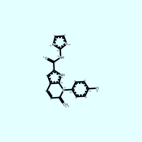 C=C1C=Cc2cc(C(=O)Nc3nccs3)[nH]c2N1c1ccc(Cl)cc1